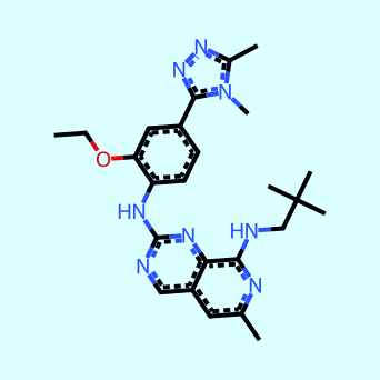 CCOc1cc(-c2nnc(C)n2C)ccc1Nc1ncc2cc(C)nc(NCC(C)(C)C)c2n1